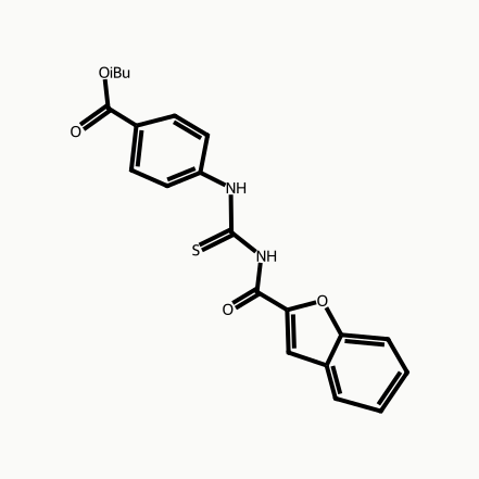 CC(C)COC(=O)c1ccc(NC(=S)NC(=O)c2cc3ccccc3o2)cc1